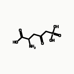 NC(CC(=O)CP(=O)(O)O)C(=O)O